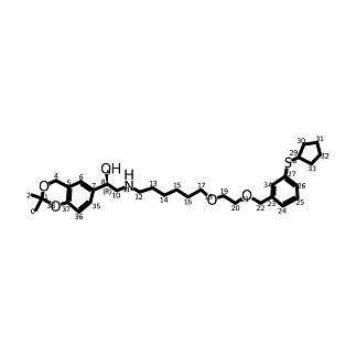 CC1(C)OCc2cc([C@@H](O)CNCCCCCCOCCOCc3cccc(SC4CCCC4)c3)ccc2O1